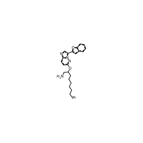 CC(C)CCCCCCC(CN)Oc1ccc2ncc(-c3cc4ccccc4o3)n2n1